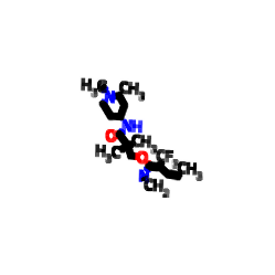 C=N/C(OCC(C)(C)C(=O)N[C@@H]1CCN(C)[C@H](C)C1)=C(\C=C/C)C(F)(F)F